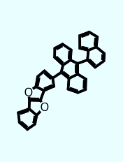 c1ccc2c(-c3c4ccccc4c(-c4ccc5oc6c7ccccc7oc6c5c4)c4ccccc34)cccc2c1